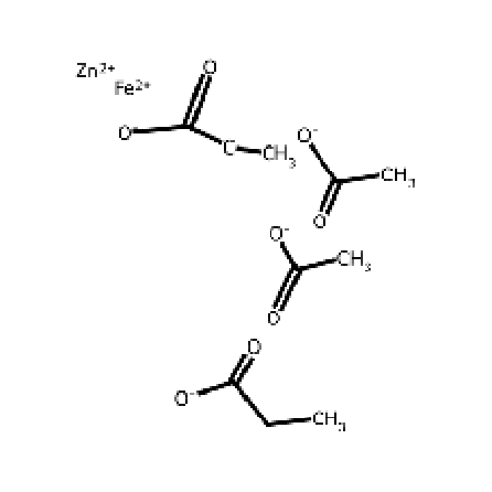 CC(=O)[O-].CC(=O)[O-].CCC(=O)[O-].CCC(=O)[O-].[Fe+2].[Zn+2]